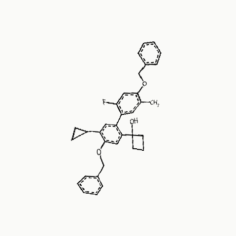 Cc1cc(-c2cc(C3CC3)c(OCc3ccccc3)cc2C2(O)CCC2)c(F)cc1OCc1ccccc1